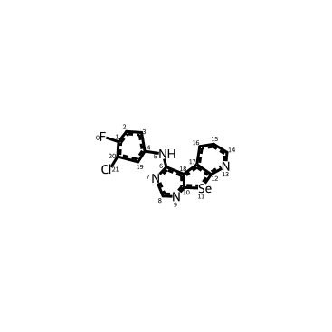 Fc1ccc(Nc2ncnc3[se]c4ncccc4c23)cc1Cl